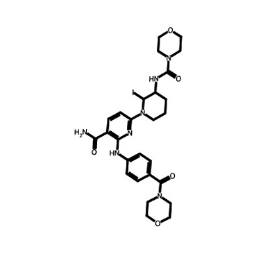 NC(=O)c1ccc(N2CCCC(NC(=O)N3CCOCC3)C2I)nc1Nc1ccc(C(=O)N2CCOCC2)cc1